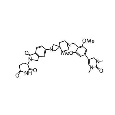 COc1cc(C2=CN(C)C(=O)N(C)C2)cc(OC)c1CN1CCC2(CC1)CN(c1ccc3c(c1)CN(C1CCC(=O)NC1=O)C3=O)C2